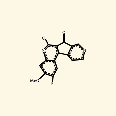 COc1cc2nc(Cl)c3c(c2cc1F)-c1ccncc1C3=O